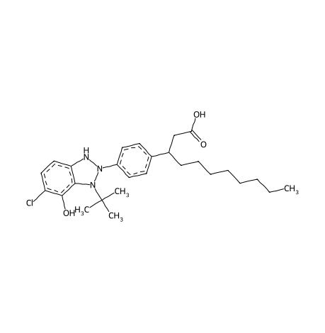 CCCCCCCCC(CC(=O)O)c1ccc(N2Nc3ccc(Cl)c(O)c3N2C(C)(C)C)cc1